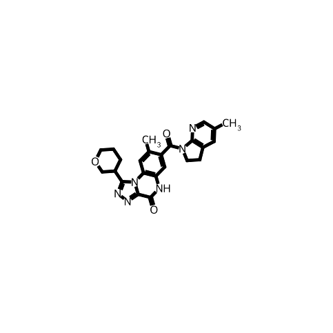 Cc1cnc2c(c1)CCN2C(=O)c1cc2[nH]c(=O)c3nnc(C4CCCOC4)n3c2cc1C